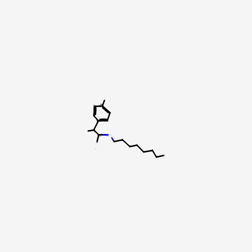 CCCCCCCCNC(C)C(C)c1ccc(C)cc1